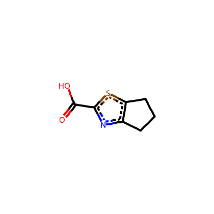 O=C(O)c1nc2c(s1)CCC2